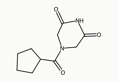 O=C1CN(C(=O)C2CCCC2)CC(=O)N1